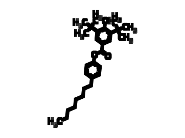 CCCCCCCCc1ccc(OC(=O)c2cc(C(C)(C)C)c(O)c(C(C)(C)C)c2)cc1